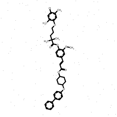 COc1cc(C=CC(=O)OC2CCC(Oc3ccc(-c4ccccc4)cc3)CC2)ccc1OC(=O)C(C)(C)CCCOc1cc(C)c(Cl)cc1C